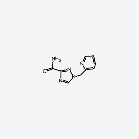 NC(=O)c1ncn(Cc2ccccn2)n1